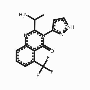 CC(N)c1nc2cccc(C(F)(F)F)c2c(=O)n1-c1cc[nH]n1